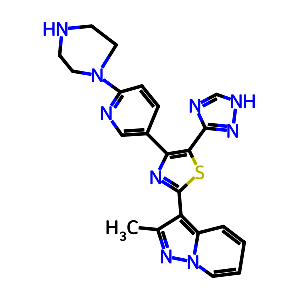 Cc1nn2ccccc2c1-c1nc(-c2ccc(N3CCNCC3)nc2)c(-c2nc[nH]n2)s1